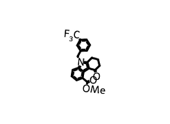 COC(=O)c1cccc2c1c1c(n2Cc2cccc(C(F)(F)F)c2)CCCC1=O